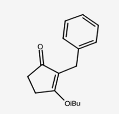 CC(C)COC1=C(Cc2ccccc2)C(=O)CC1